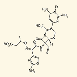 CCN1C(N)=NC(C2=C(C(=O)O)N3C(=O)[C@](C=S)(NC(=O)/C(=N\OC(C)CC(=O)O)c4csc(N)n4)[C@H]3SC2)=CC1N